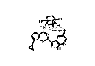 CCOC(=O)[C@H]1[C@H]2CC[C@H](CC2)[C@@H]1Nc1nc(-c2n[nH]c3ncc(F)cc23)nn2c(C3CC3)ccc12